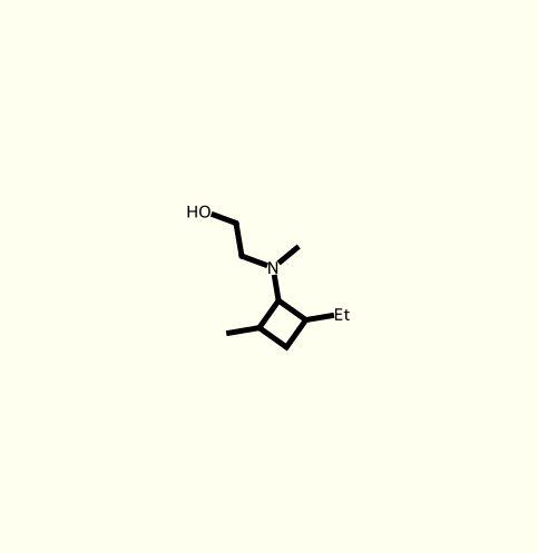 CCC1CC(C)C1N(C)CCO